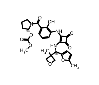 COC(=O)O[C@@H]1CCCN1C(=O)c1cccc(Nc2c(N[C@@H](c3ccc(C)o3)C3(C)COC3)c(=O)c2=O)c1O